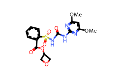 COc1cc(OC)nc(NC(=O)NS(=O)(=O)c2ccccc2C(=O)OC2COC2)n1